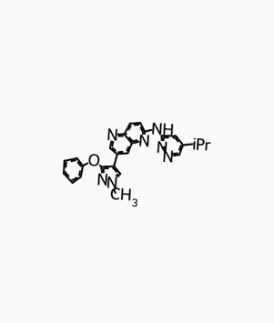 CC(C)c1cnnc(Nc2ccc3ncc(-c4cn(C)nc4Oc4ccccc4)cc3n2)c1